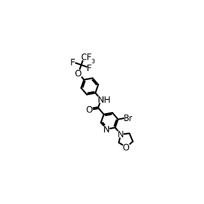 O=C(Nc1ccc(OC(F)(F)C(F)(F)F)cc1)c1cnc(N2CCOC2)c(Br)c1